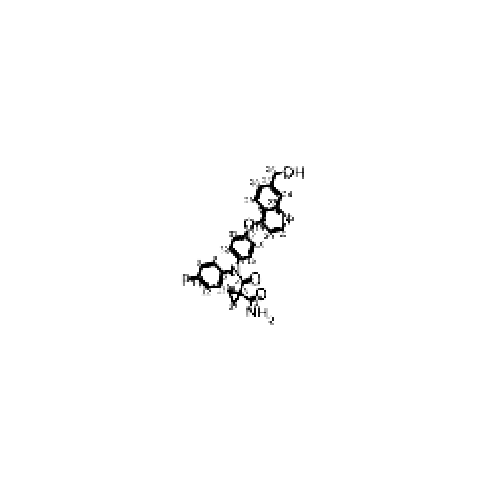 NC(=O)C1(C(=O)N(c2ccc(F)cc2)c2ccc(Oc3ccnc4cc(CO)ccc34)cc2)CC1